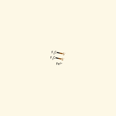 FC(F)(F)[S-].FC(F)(F)[S-].[Fe+2]